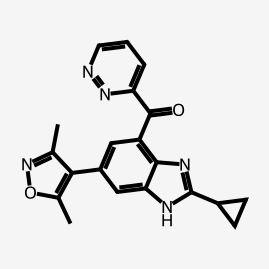 Cc1noc(C)c1-c1cc(C(=O)c2cccnn2)c2nc(C3CC3)[nH]c2c1